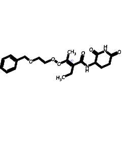 CC/C(C(=O)NC1CCC(=O)NC1=O)=C(/C)OOCCOCc1ccccc1